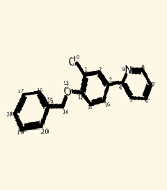 Clc1cc(-c2c[c]ccn2)ccc1OCc1ccccc1